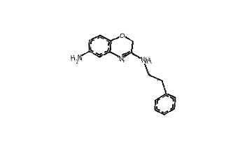 Nc1ccc2c(c1)N=C(NCCc1ccccc1)CO2